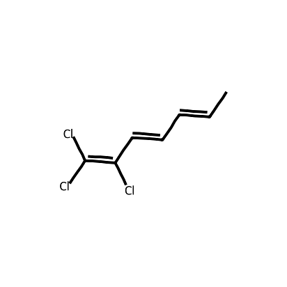 CC=CC=CC(Cl)=C(Cl)Cl